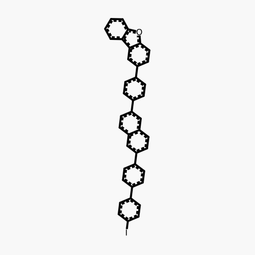 Ic1ccc(-c2ccc(-c3ccc4cc(-c5ccc(-c6ccc7oc8ccccc8c7c6)cc5)ccc4c3)cc2)cc1